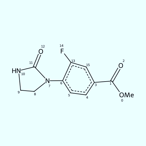 COC(=O)c1ccc(N2CCNC2=O)c(F)c1